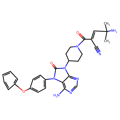 CC(C)(N)C=C(C#N)C(=O)N1CCC(n2c(=O)n(-c3ccc(Oc4ccccc4)cc3)c3c(N)ncnc32)CC1